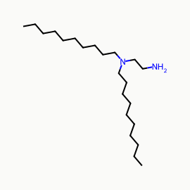 CCCCCCCCCCN(CCN)CCCCCCCCCC